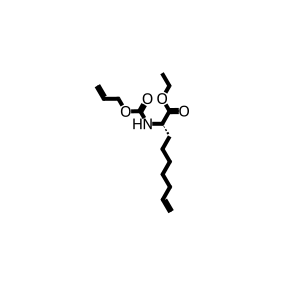 C=CCCCCC[C@H](NC(=O)OCC=C)C(=O)OCC